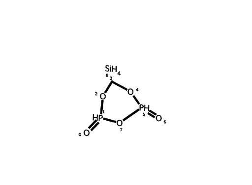 O=[PH]1OCO[PH](=O)O1.[SiH4]